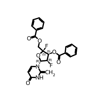 C=C1NC(=O)C=CN1[C@@H]1O[C@](F)(COC(=O)c2ccccc2)[C@@H](OC(=O)c2ccccc2)[C@H]1F